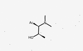 CC(=O)[C@H]([C@@H](C)O)N(C)C